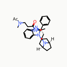 CC(=O)N(C)CCC(=O)N[C@@H](CCN1[C@@H]2CC[C@H]1C[C@@H](n1c(C)nc3ccccc31)C2)c1ccccc1